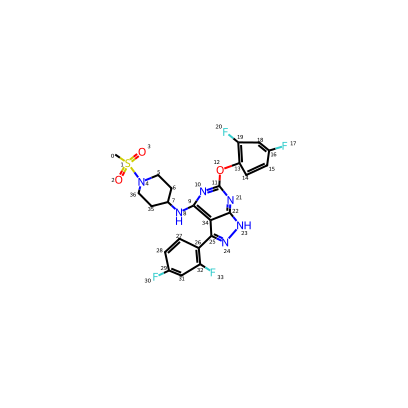 CS(=O)(=O)N1CCC(Nc2nc(Oc3ccc(F)cc3F)nc3[nH]nc(-c4ccc(F)cc4F)c23)CC1